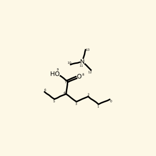 CCCCC(CC)C(=O)O.CN(C)C